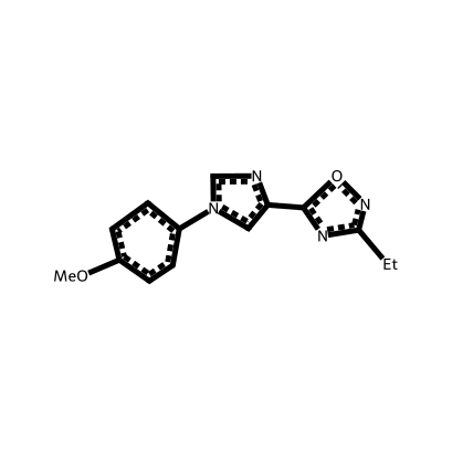 CCc1noc(-c2cn(-c3ccc(OC)cc3)cn2)n1